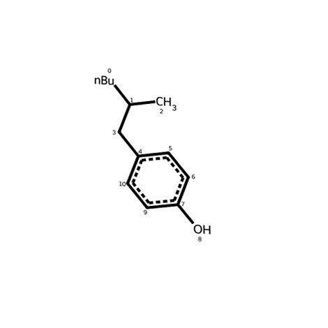 CCCCC(C)Cc1ccc(O)cc1